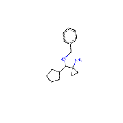 NC1(C(NCc2ccccc2)C2CCCC2)CC1